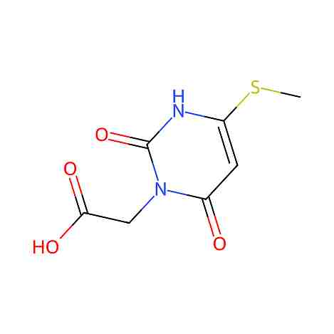 CSc1cc(=O)n(CC(=O)O)c(=O)[nH]1